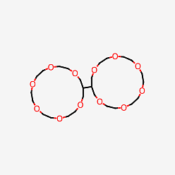 C1COCCOCCOCC(C2COCCOCCOCCOCCOCCOC2)COCCOCCO1